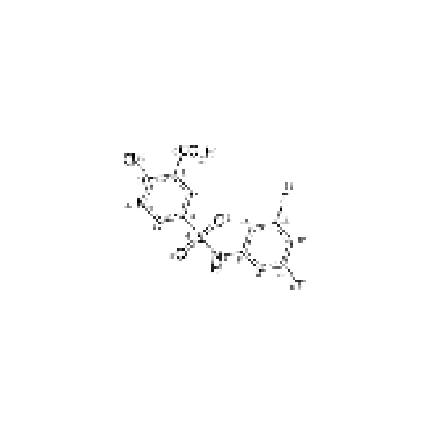 O=C(O)c1cc(S(=O)(=O)Nc2cc(F)cc(F)c2)cnc1Cl